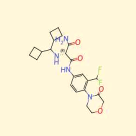 NC(=O)[C@@H](NC(C1CCC1)C1CCC1)C(=O)Nc1ccc(N2CCOCC2=O)c(C(F)F)c1